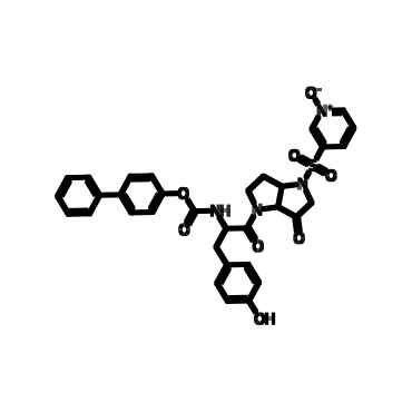 O=C(NC(Cc1ccc(O)cc1)C(=O)N1CCC2C1C(=O)CN2S(=O)(=O)c1ccc[n+]([O-])c1)Oc1ccc(-c2ccccc2)cc1